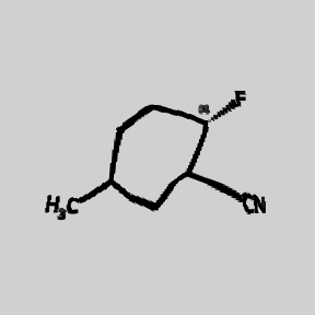 CC1CC[C@H](F)C(C#N)C1